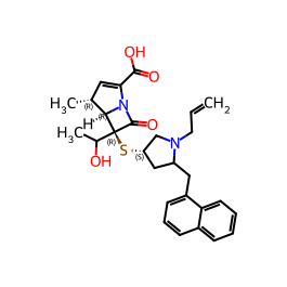 C=CCN1C[C@@H](S[C@]2(C(C)O)C(=O)N3C(C(=O)O)=C[C@@H](C)[C@@H]32)CC1Cc1cccc2ccccc12